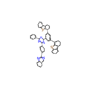 c1ccc(-c2nc(-c3ccc(-c4ncc5ccccc5n4)cc3)nc(-c3cc(-c4cccc5c4sc4ccccc45)cc(-c4cccc5c4sc4ccccc45)c3)n2)cc1